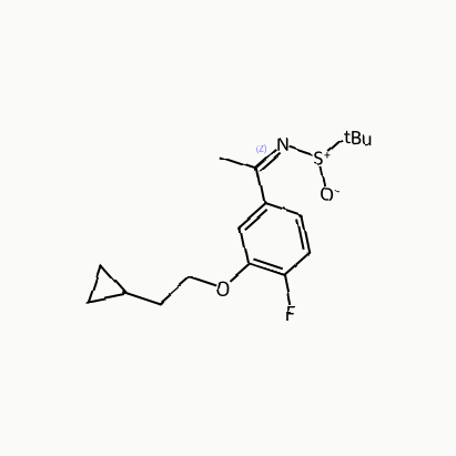 C/C(=N/[S+]([O-])C(C)(C)C)c1ccc(F)c(OCCC2CC2)c1